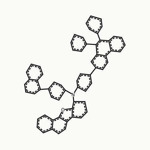 c1ccc(-c2c(-c3ccccc3)c3cc(-c4ccc(N(c5ccc(-c6cccc7ccccc67)cc5)c5cccc6c5oc5c7ccccc7ccc65)cc4)ccc3c3ccccc23)cc1